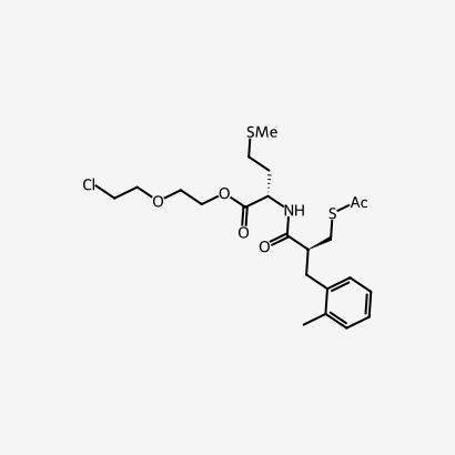 CSCC[C@H](NC(=O)[C@@H](CSC(C)=O)Cc1ccccc1C)C(=O)OCCOCCCl